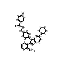 Nc1ncccc1-c1nc2ccc(N3CCCCC3)nc2n1-c1ccc(CNC(=O)c2ccc(Br)cc2)cc1